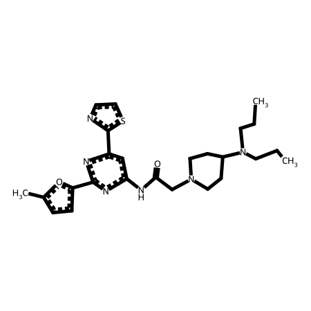 CCCN(CCC)C1CCN(CC(=O)Nc2cc(-c3nccs3)nc(-c3ccc(C)o3)n2)CC1